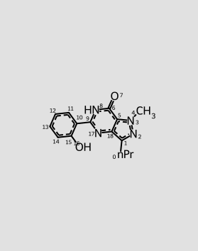 CCCc1nn(C)c2c(=O)[nH]c(-c3ccccc3O)nc12